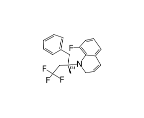 C[C@](Cc1ccccc1)(CC(F)(F)F)N1CC=Cc2cccc(F)c21